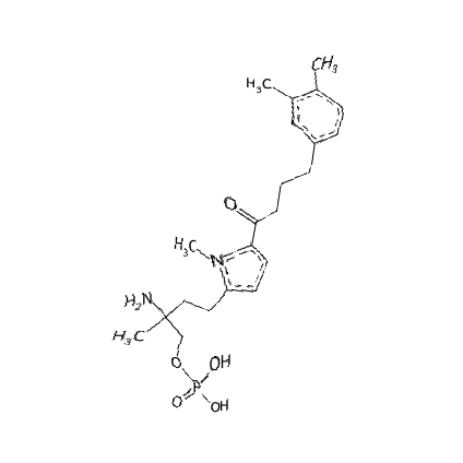 Cc1ccc(CCCC(=O)c2ccc(CCC(C)(N)COP(=O)(O)O)n2C)cc1C